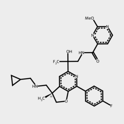 COc1nccc(C(=O)NCC(O)(c2cc3c(c(-c4ccc(F)cc4)n2)OC[C@]3(C)CNCC2CC2)C(F)(F)F)n1